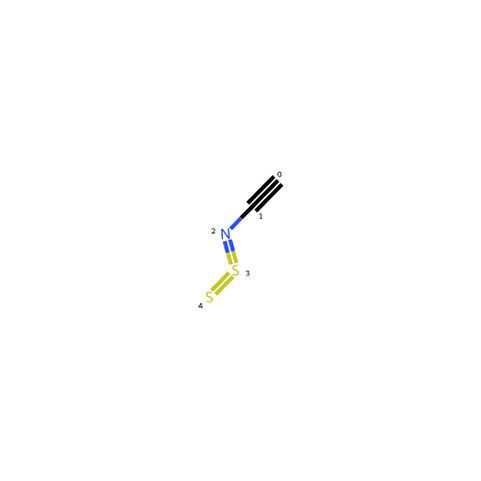 C#CN=S=S